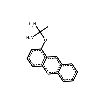 CC(N)(N)Oc1cccc2nc3ccccc3cc12